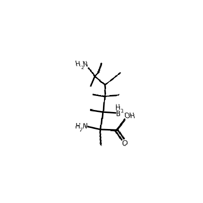 BC(C)(C(C)(N)C(=O)O)C(C)(C)C(C)C(C)(C)N